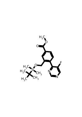 COC(=O)c1ccc(-c2ncncc2F)c(CO[Si](C)(C)C(C)(C)C)c1